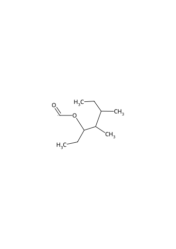 CCC(C)C(C)C(CC)O[C]=O